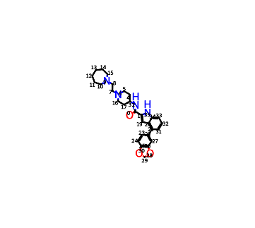 O=C(NC1CCN(CCN2CCCCCC2)CC1)c1cc2c(-c3ccc4c(c3)OCO4)cccc2[nH]1